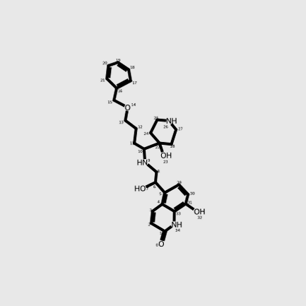 O=c1ccc2c(C(O)CNC(CCCOCc3ccccc3)C3(O)CCNCC3)ccc(O)c2[nH]1